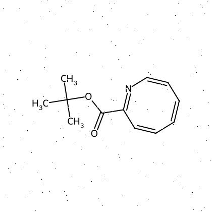 CC(C)(C)OC(=O)C1=NC=CC=CC=C1